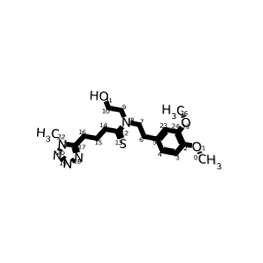 COc1ccc(CCN(CCO)C(=S)CCCc2nnnn2C)cc1OC